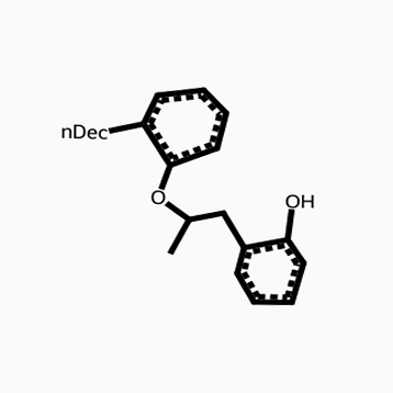 CCCCCCCCCCc1ccccc1OC(C)Cc1ccccc1O